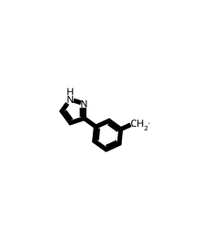 [CH2]c1cccc(-c2cc[nH]n2)c1